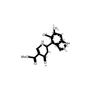 COC(=O)C1=CNC(c2c(Cl)c(C)cc3[nH]ncc23)CC1=O